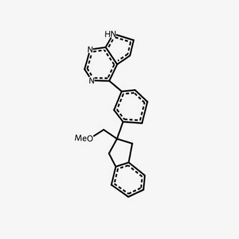 COCC1(c2cccc(-c3ncnc4[nH]ccc34)c2)Cc2ccccc2C1